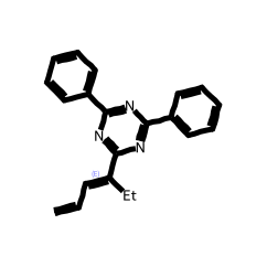 C=C/C=C(\CC)c1nc(-c2ccccc2)nc(-c2ccccc2)n1